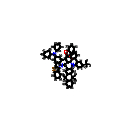 CC(C)(C)c1ccc(N2c3cc4c(cc3B3c5c2cc2c(oc6ccccc62)c5-c2cc(N(c5ccccc5)c5ccccc5)cc5c6sc7ccccc7c6n3c25)C(C)(C)c2ccccc2C4(C)C)c(-c2ccccc2)c1